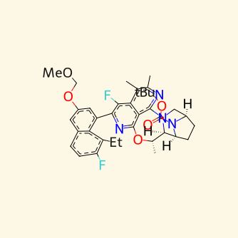 CCc1c(F)ccc2cc(OCOC)cc(-c3nc4c5c(nc(C)c(C)c5c3F)N3C[C@H]5CC[C@@H]([C@H]3[C@H](C)O4)N5C(=O)OC(C)(C)C)c12